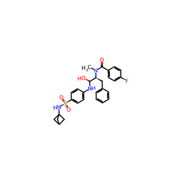 CN(C(=O)c1ccc(F)cc1)[C@@H](Cc1ccccc1)C(O)Nc1ccc(S(=O)(=O)NC23CC(C2)C3)cc1